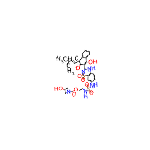 CC(C)CCC1(C)C(=O)C(C2=NS(=O)(=O)c3cc(NS(=O)(=O)NCCOC(=O)N4CC(O)C4)ccc3N2)=C(O)c2ccccc21